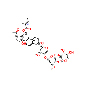 C/C=C(\C)C(=O)O[C@@H]1CC2C(CC=C3C[C@@H](O[C@H]4C[C@@H](OC)C(O[C@H]5C[C@@H](OC)C(O[C@@H]6OC=C(O)C(OC)[C@@H]6O)=CO5)=CO4)CC[C@@]32C)[C@@]2(O)CC[C@H](C(C)=O)[C@@]12C